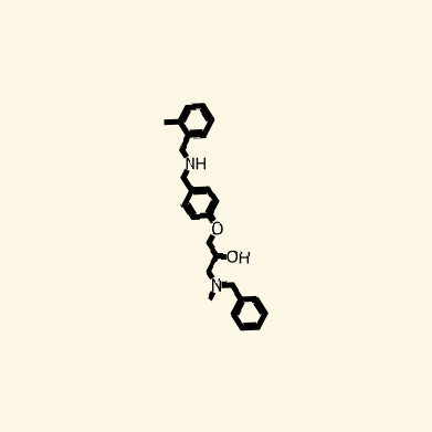 Cc1ccccc1CNCc1ccc(OCC(O)CN(C)Cc2ccccc2)cc1